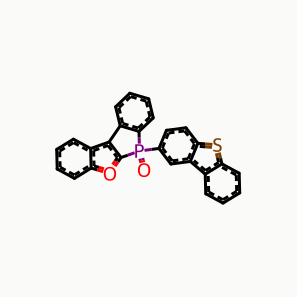 O=P1(c2ccc3sc4ccccc4c3c2)c2ccccc2-c2c1oc1ccccc21